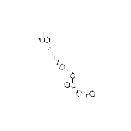 O=C(NC(c1ccccc1)c1cccc(OCc2ccc(C(=O)NCCCCNCC(O)c3ccc(O)c4[nH]c(=O)ccc34)cc2)c1)O[C@H]1C[N+]2(CC(=O)c3ccccc3)CCC1CC2